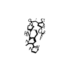 Cc1nc2c(cc1-c1ncccn1)CC[C@@]1(CCN(C(=O)[C@H](C)c3cc(OC(F)F)ncc3Cl)C1)N2